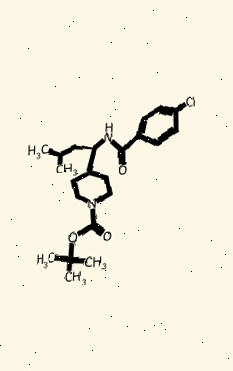 CC(C)C[C@@H](NC(=O)c1ccc(Cl)cc1)C1CCN(C(=O)OC(C)(C)C)CC1